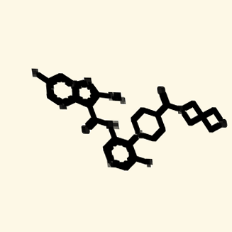 Nc1nn2cc(F)cnc2c1C(=O)Nc1cncc(F)c1N1CCC(C(=O)N2CC3(COC3)C2)CC1